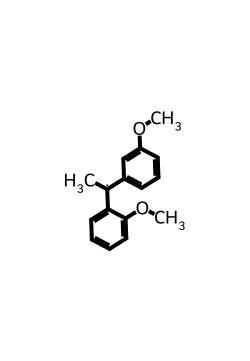 COc1cccc([C](C)c2ccccc2OC)c1